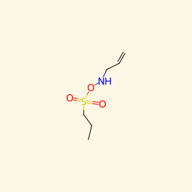 C=CCNOS(=O)(=O)CCC